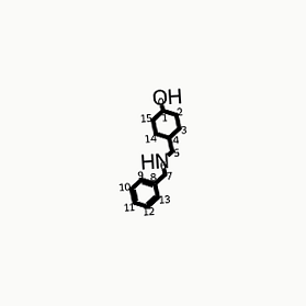 OC1CCC(CNCc2ccccc2)CC1